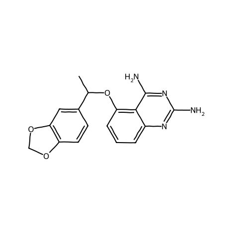 CC(Oc1cccc2nc(N)nc(N)c12)c1ccc2c(c1)OCO2